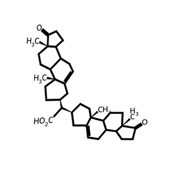 C[C@]12CC[C@H](C(C(=O)O)[C@H]3CC[C@@]4(C)C(=CCC5C4CC[C@]4(C)C(=O)CCC54)C3)CC1=CCC1C2CC[C@]2(C)C(=O)CCC12